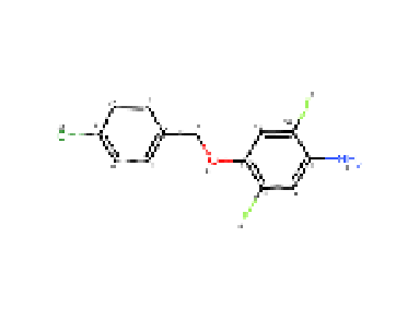 Nc1cc(F)c(OCc2ccc(Cl)cc2)cc1F